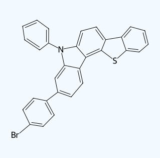 Brc1ccc(-c2ccc3c4c5sc6ccccc6c5ccc4n(-c4ccccc4)c3c2)cc1